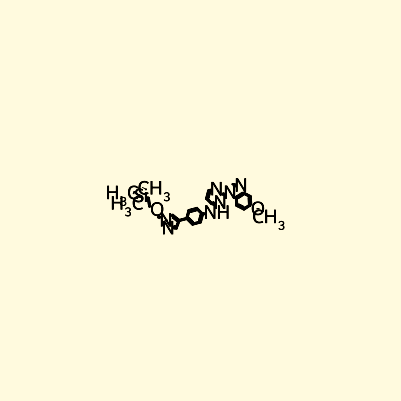 COc1ccc2c(c1)ncn2-c1nccc(Nc2ccc(-c3cnn(COCC[Si](C)(C)C)c3)cc2)n1